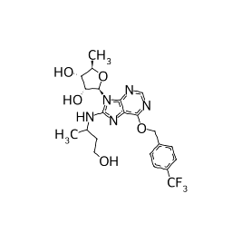 CC(CCO)Nc1nc2c(OCc3ccc(C(F)(F)F)cc3)ncnc2n1[C@@H]1O[C@H](C)[C@@H](O)[C@H]1O